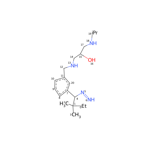 CCC(C)(C)C(N=N)c1cccc(CNCC(O)CNC(C)C)c1